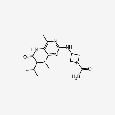 BC(=O)N1CC(Nc2nc(C)c3c(n2)N(C)C(C(C)C)C(=O)N3)C1